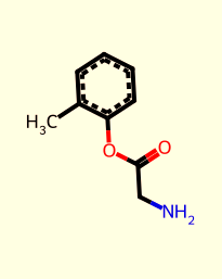 Cc1ccccc1OC(=O)CN